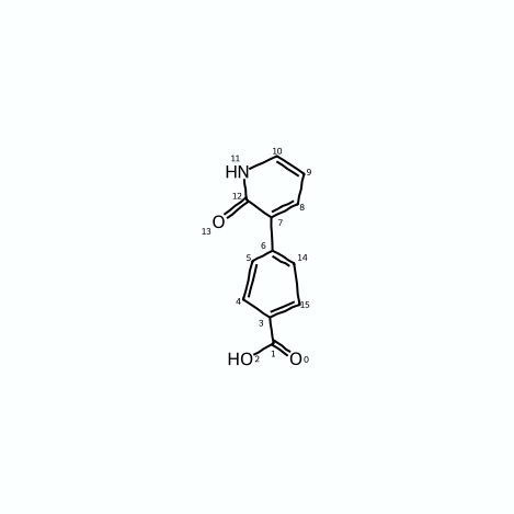 O=C(O)c1ccc(-c2ccc[nH]c2=O)cc1